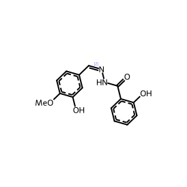 COc1ccc(/C=N\NC(=O)c2ccccc2O)cc1O